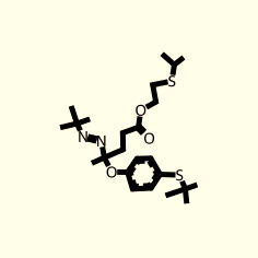 CC(C)SCCOC(=O)CCC(C)(/N=N/C(C)(C)C)Oc1ccc(SC(C)(C)C)cc1